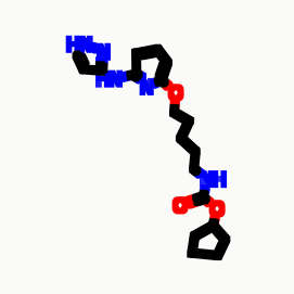 O=C(NCCCCCOc1cccc(Nc2cc[nH]n2)n1)OC1CCCC1